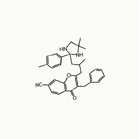 Cc1ccc(C2(CC(C)Cc3oc4cc(C#N)ccc4c(=O)c3Cc3ccccc3)NCC(C)(C)N2)cc1